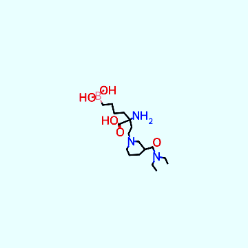 CCN(CC)C(=O)C1CCCN(CCC(N)(CCCCB(O)O)C(=O)O)C1